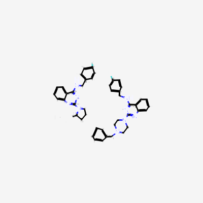 Fc1ccc(CNc2nc(N3CCN(Cc4ccccc4)CC3)nc3ccccc23)cc1.O=C(O)C1CCCN1c1nc(NCc2ccc(F)cc2)c2ccccc2n1